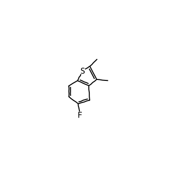 Cc1sc2ccc(F)cc2c1C